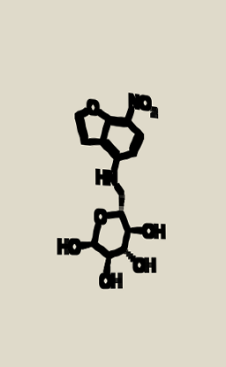 O=[N+]([O-])c1ccc(NC[C@H]2O[C@H](O)[C@H](O)[C@@H](O)[C@@H]2O)c2ccoc12